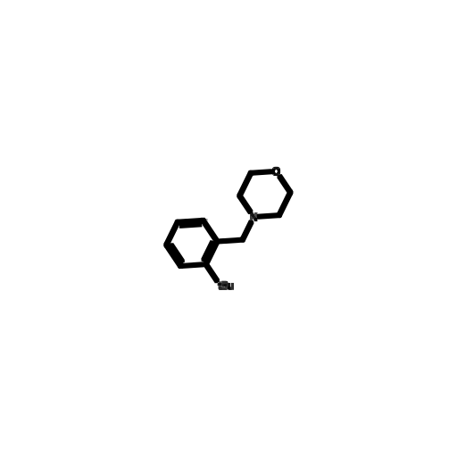 CC(C)(C)c1ccc[c]c1CN1CCOCC1